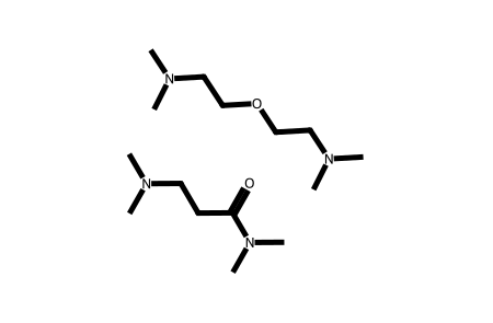 CN(C)CCC(=O)N(C)C.CN(C)CCOCCN(C)C